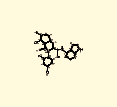 CCC(Nc1ncnc2[nH]cnc12)c1nc2ccc(F)c(Cl)c2c(=O)n1-c1ccc(Cl)cc1Cl